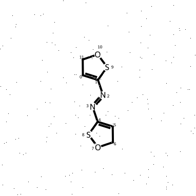 C1=C(N=NC2=CCOS2)SOC1